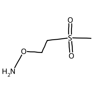 CS(=O)(=O)CCON